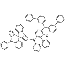 c1ccc2c(c#1)C1(c3ccccc3-c3cc(N(c4ccccc4)c4ccc(C(c5cccc(-c6ccccc6)c5)c5cccc(-c6ccccc6)c5)c5oc6ccccc6c45)ccc31)c1ccccc1N2c1ccccc1